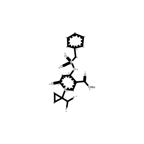 COC(=O)c1cn(C2(C(F)F)CC2)c(=O)cc1OS(=O)(=O)Cc1ccccc1